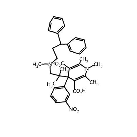 CC1=C(C(=O)O)C(c2cccc([N+](=O)[O-])c2)(C(C)(C)CN(C)CCC(c2ccccc2)c2ccccc2)C(C(=O)O)=C(C)N1C